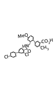 COc1ccc(-c2ccc(C)c(C(=O)O)c2)c(CNC(=O)c2ccc(-c3ccc(Cl)cc3)cc2Cl)c1